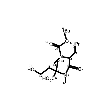 CC(C)CC(C(=O)N(C)C(C)(CCO)C(=O)O)N(C)C(=O)OC(C)(C)C